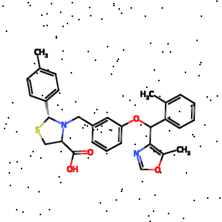 Cc1ccc([C@H]2SCC(C(=O)O)N2Cc2cccc(OC(c3ccccc3C)c3ncoc3C)c2)cc1